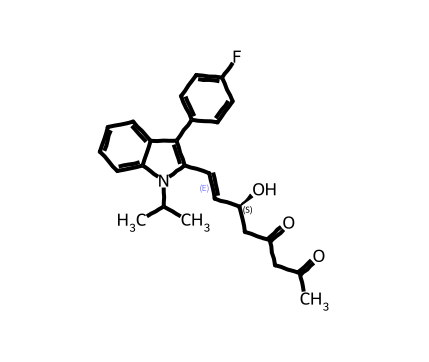 CC(=O)CC(=O)C[C@H](O)/C=C/c1c(-c2ccc(F)cc2)c2ccccc2n1C(C)C